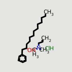 C=CCN(C)C.CCCCCCCCCCCC(O)Cc1ccccc1.Cl